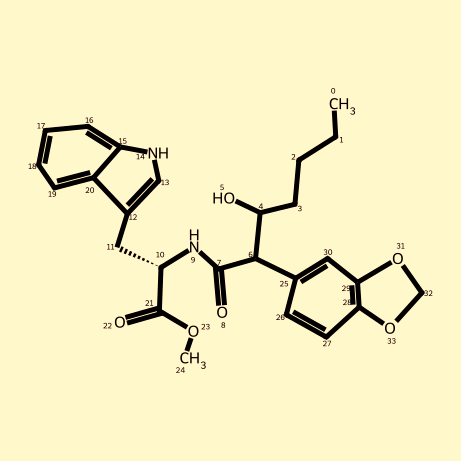 CCCCC(O)C(C(=O)N[C@@H](Cc1c[nH]c2ccccc12)C(=O)OC)c1ccc2c(c1)OCO2